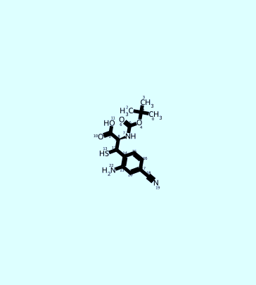 CC(C)(C)OC(=O)N[C@H](C(=O)O)C(S)c1ccc(C#N)cc1N